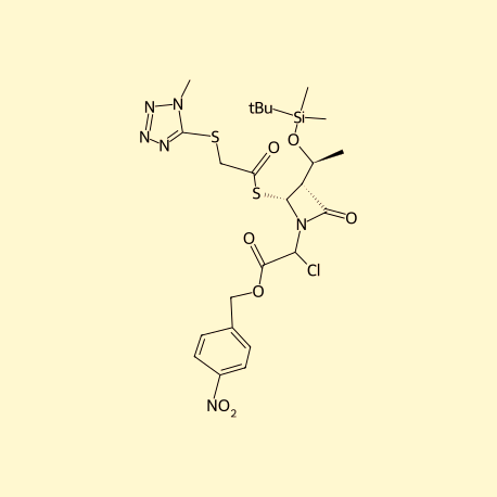 C[C@H](O[Si](C)(C)C(C)(C)C)[C@@H]1C(=O)N(C(Cl)C(=O)OCc2ccc([N+](=O)[O-])cc2)[C@@H]1SC(=O)CSc1nnnn1C